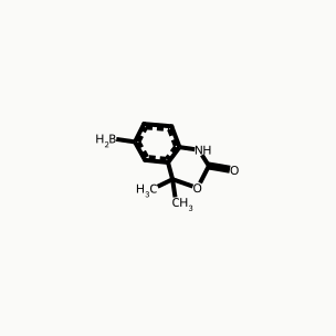 Bc1ccc2c(c1)C(C)(C)OC(=O)N2